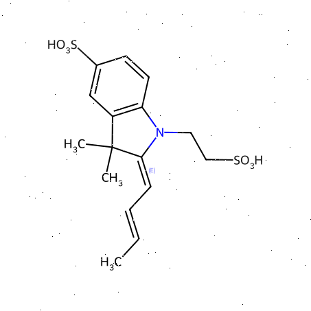 CC=C/C=C1/N(CCS(=O)(=O)O)c2ccc(S(=O)(=O)O)cc2C1(C)C